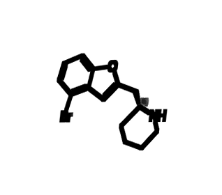 Brc1cccc2oc(C[C@@H]3CCCCN3)cc12